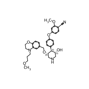 COCCCN1CCOc2ccc(CO[C@H]3CNC[C@@H](O)[C@@H]3c3ccc(Oc4ccc(C#N)c(OC)c4)cc3)cc21